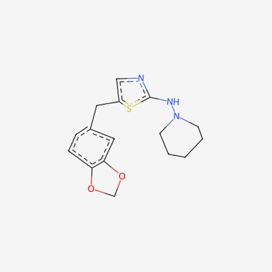 c1cc2c(cc1Cc1cnc(NN3CCCCC3)s1)OCO2